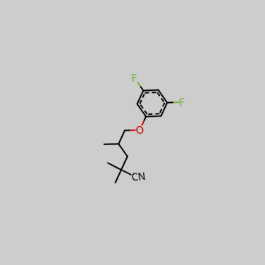 CC(COc1cc(F)cc(F)c1)CC(C)(C)C#N